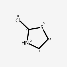 ClC1NC[CH]S1